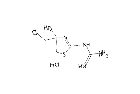 Cl.N=C(N)NC1=NC(O)(CCl)CS1